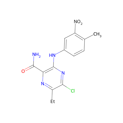 CCc1nc(C(N)=O)c(Nc2ccc(C)c([N+](=O)[O-])c2)nc1Cl